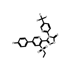 CCS(=O)(=O)c1cc(-c2ccc(F)cc2)cnc1-c1noc(=S)n1-c1ccc(C(F)(F)F)cn1